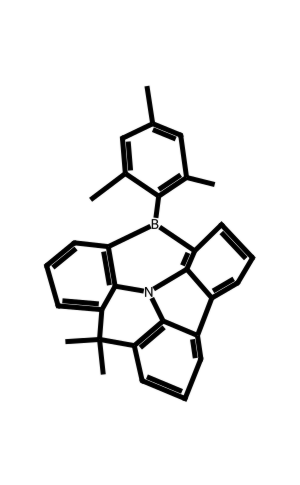 Cc1cc(C)c(B2c3cccc4c3-n3c5c2cccc5c2cccc(c23)C4(C)C)c(C)c1